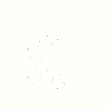 N#Cc1ccc(-c2ccc(C[C@H](NC(=O)c3c(F)cc(N4CCS(=O)(=O)CC4)cc3F)C(=O)O)c3cccnc23)c(Cl)c1